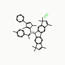 CC1=CC(C)(C)c2cc3c(cc21)-c1cc2c(cc1[CH]3/[Zr+2]([C]1=C(C)C(c3ccccc3)=CC1C)=[C](\C)c1ccc(C)cc1)C(C)(C)C=C2C.[Cl-].[Cl-]